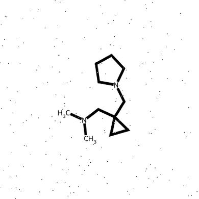 CN(C)CC1(CN2CCCC2)CC1